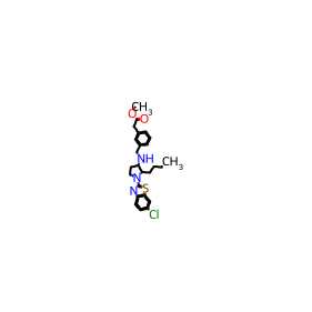 CCCCC1C(NCc2cccc(CC(=O)OC)c2)CCN1c1nc2ccc(Cl)cc2s1